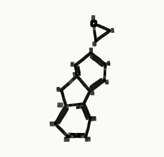 C1CO1.c1ccc2c(c1)Cc1ccccc1-2